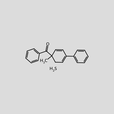 CC1(C(=O)c2ccccc2)C=CC(c2ccccc2)=CC1.S